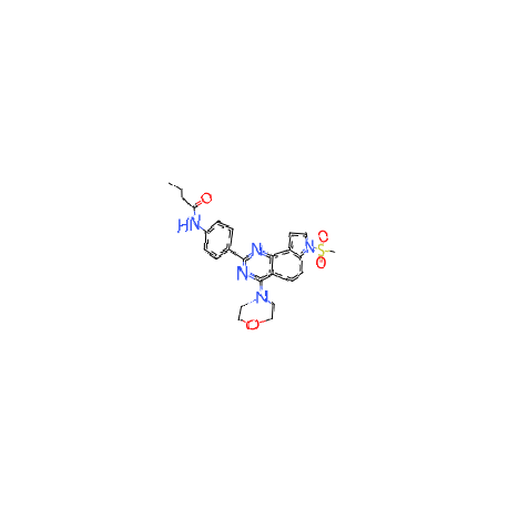 CCCC(=O)Nc1ccc(-c2nc(N3CCOCC3)c3ccc4c(ccn4S(C)(=O)=O)c3n2)cc1